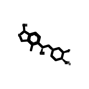 Cc1c([C@@H](O)CN2CC[C@@H](N)[C@H](F)C2)ccc2c1COC2O